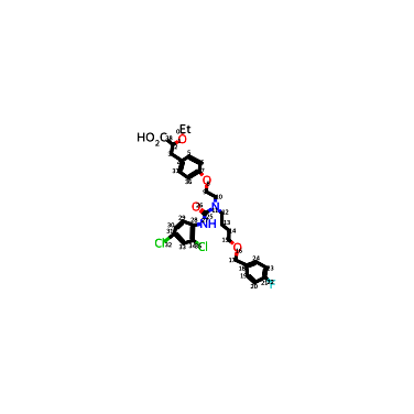 CCOC(Cc1ccc(OCCN(CCCCOCc2ccc(F)cc2)C(=O)Nc2ccc(Cl)cc2Cl)cc1)C(=O)O